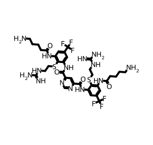 N=C(N)NCCSc1c(NC(=O)CCCCN)cc(C(F)(F)F)cc1NC(=O)c1cc(C(=O)Nc2cc(C(F)(F)F)cc(NC(=O)CCCCN)c2SCCNC(=N)N)ncn1